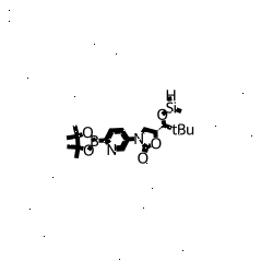 C[SiH](C)OC([C@H]1CN(c2ccc(B3OC(C)(C)C(C)(C)O3)nc2)C(=O)O1)C(C)(C)C